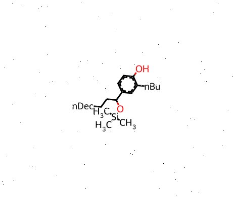 CCCCCCCCCCCCC(O[Si](C)(C)C)c1ccc(O)c(CCCC)c1